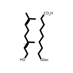 CC(C)=CCC/C(C)=C/CO.CCCCCCCCCCCCCCCCCC(=O)O